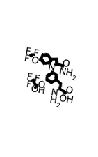 NC(=O)c1cc2ccc(OC(F)(F)F)cc2n1-c1cccc(C[C@@H](N)C(=O)O)c1.O=C(O)C(F)(F)F